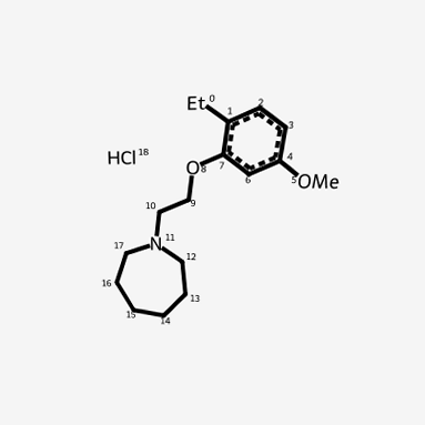 CCc1ccc(OC)cc1OCCN1CCCCCC1.Cl